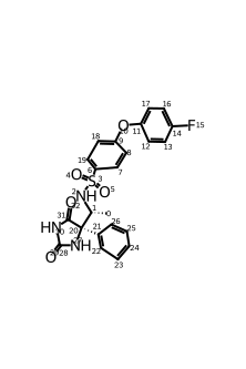 C[C@@H](NS(=O)(=O)c1ccc(Oc2ccc(F)cc2)cc1)[C@@]1(c2ccccc2)NC(=O)NC1=O